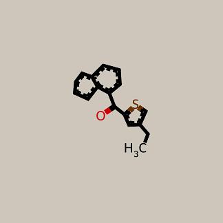 CCc1csc(C(=O)c2cccc3ccccc23)c1